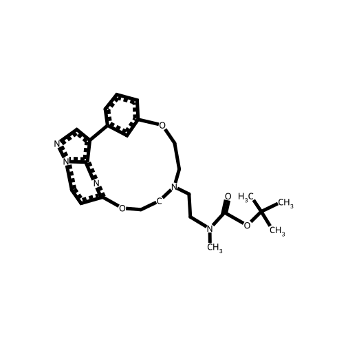 CN(CCN1CCOc2cccc(c2)-c2cnn3ccc(nc23)OCC1)C(=O)OC(C)(C)C